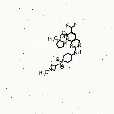 CN1CC(S(=O)(=O)N2CCC(Nc3ncc4cc(C(F)F)c(=O)n([C@@H]5CCC[C@@]5(C)O)c4n3)CC2)C1